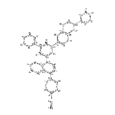 N#Cc1ccc(-c2ccc(-c3cc(-c4ccc5cc(-c6cccnc6)ccc5c4)nc(-c4ccccc4)n3)c3ccccc23)cc1